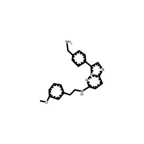 COc1cccc(CCNc2ccc3ncc(-c4ccc(CN)cc4)n3n2)c1